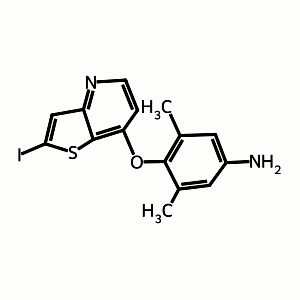 Cc1cc(N)cc(C)c1Oc1ccnc2cc(I)sc12